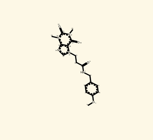 COc1ccc(CNC(=O)CCn2cnc3c2c(=O)n(C)c(=O)n3C)cc1